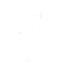 CCCC(=O)c1ccc(C2=CC3C(=C(c4cccc(C(=O)N(CCC)CCC5CCC5)c4)C=CN3C)O2)cc1